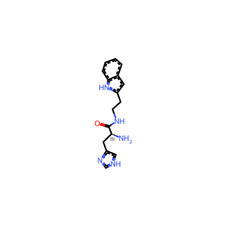 N[C@@H](Cc1c[nH]cn1)C(=O)NCCc1cc2ccccc2[nH]1